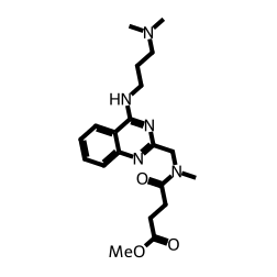 COC(=O)CCC(=O)N(C)Cc1nc(NCCCN(C)C)c2ccccc2n1